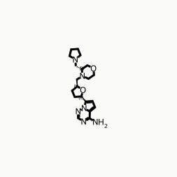 Nc1ncnn2c([C@H]3CC[C@@H](CN4CCOC[C@H]4CN4CCCC4)O3)ccc12